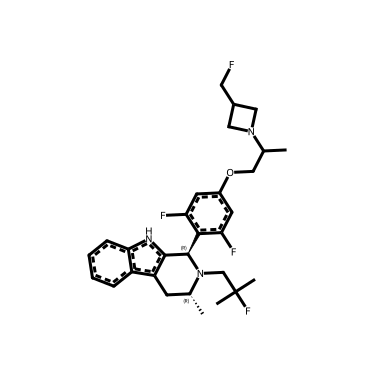 CC(COc1cc(F)c([C@@H]2c3[nH]c4ccccc4c3C[C@@H](C)N2CC(C)(C)F)c(F)c1)N1CC(CF)C1